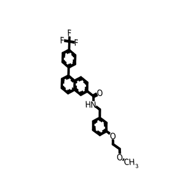 COCCOc1cccc(CNC(=O)c2ccc3c(-c4ccc(C(F)(F)F)cc4)cccc3c2)c1